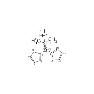 C[Si](C)=[Zr+2]([C]1=CC=CC1)[C]1=CC=CC1.[H-].[H-]